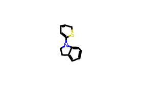 C1=CCSC(N2CCc3ccccc32)=C1